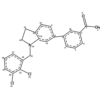 O=C(O)c1cccc(-c2ccc3c(c2)N(Cc2cccc(Cl)c2Cl)CC3)c1